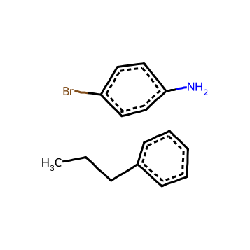 CCCc1ccccc1.Nc1ccc(Br)cc1